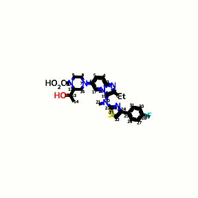 CCc1nc2ccc(N3CCN(C(=O)O)C(C(C)O)C3)cn2c1N(C)c1nc(-c2ccc(F)cc2)cs1